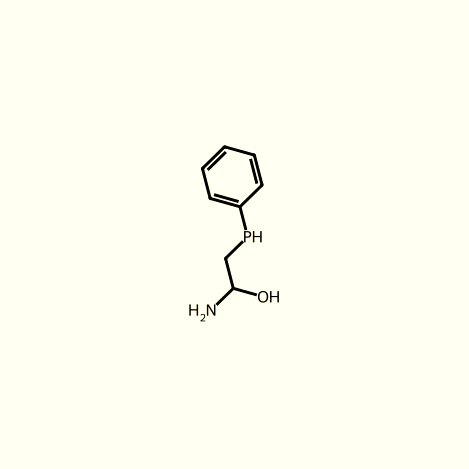 NC(O)CPc1ccccc1